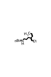 C/C=C\C(=C/CC)CCCNCCCC